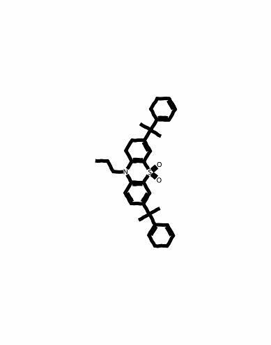 CCCN1C2=C(C=C(C(C)(C)C3=CC=CCC3)CC2)S(=O)(=O)c2cc(C(C)(C)C3=CCCC=C3)ccc21